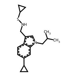 CC(C)Cn1cc(CNSC2CC2)c2ccc(C3CC3)cc21